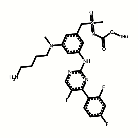 CN(CCCCN)c1cc(CS(C)(=O)=NC(=O)OC(C)(C)C)cc(Nc2ncc(F)c(-c3ccc(F)cc3F)n2)c1